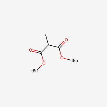 CC(C(=O)OC(C)(C)C)C(=O)OC(C)(C)C